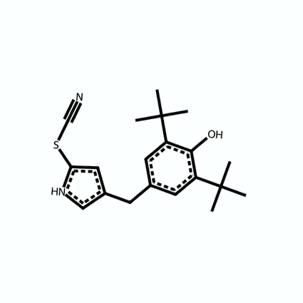 CC(C)(C)c1cc(Cc2c[nH]c(SC#N)c2)cc(C(C)(C)C)c1O